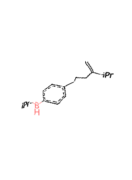 C=C(CCc1ccc(BC(C)C)cc1)C(C)C